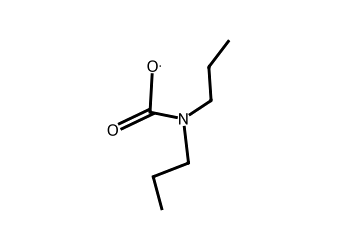 CCCN(CCC)C([O])=O